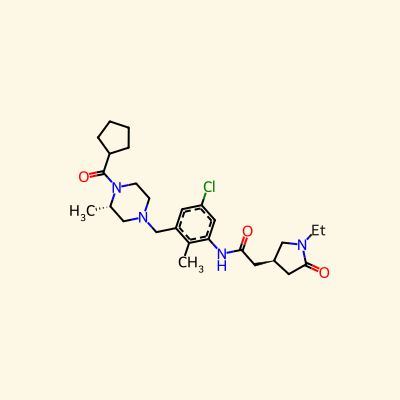 CCN1C[C@H](CC(=O)Nc2cc(Cl)cc(CN3CCN(C(=O)C4CCCC4)[C@@H](C)C3)c2C)CC1=O